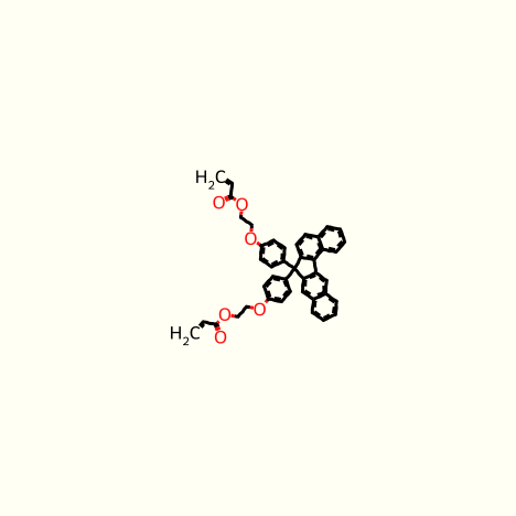 C=CC(=O)OCCOc1ccc(C2(c3ccc(OCCOC(=O)C=C)cc3)c3cc4ccccc4cc3-c3c2ccc2ccccc32)cc1